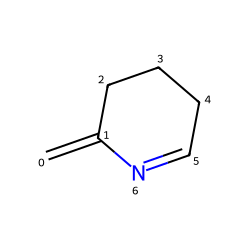 C=C1CCCC=N1